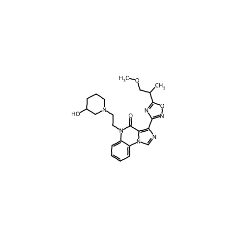 COCC(C)c1nc(-c2ncn3c2c(=O)n(CCN2CCCC(O)C2)c2ccccc23)no1